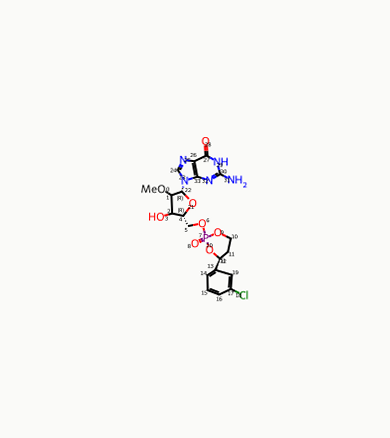 COC1C(O)[C@@H](COP2(=O)OCC[C@@H](c3cccc(Cl)c3)O2)O[C@H]1n1cnc2c(=O)[nH]c(N)nc21